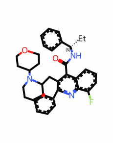 CC[C@H](NC(=O)c1c(CC2CCCCN2C2CCOCC2)c(-c2ccccc2)nc2c(F)cccc12)c1ccccc1